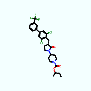 CCC(C)OC(=O)N1CCC(N2CC[C@@H](Cc3c(Cl)cc(-c4cccc(C(F)(F)F)c4)cc3Cl)C2=O)CC1